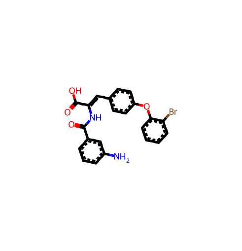 Nc1cccc(C(=O)N/C(=C\c2ccc(Oc3ccccc3Br)cc2)C(=O)O)c1